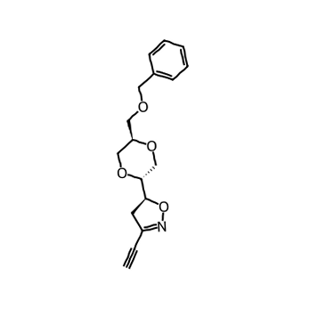 C#CC1=NO[C@H]([C@H]2CO[C@H](COCc3ccccc3)CO2)C1